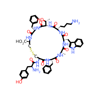 C[C@@H]1NC(=O)[C@H](Cc2ccccc2)NC(=O)[C@@H](NC(=O)[C@@H](N)Cc2ccc(O)cc2)CSSC[C@@H](C(=O)O)NC(=O)[C@H](Cc2ccccc2)NC(=O)[C@H]([C@@H](C)O)NC(=O)[C@H](CCCCN)NC(=O)[C@H](Cc2c[nH]c3ccccc23)NC1=O